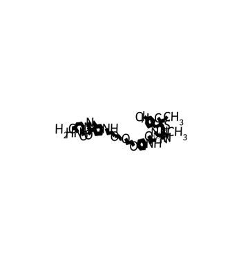 C=C1CCC(n2ncc3cc(NCCOCCOCCOc4ccc(NC(=O)C[C@@H]5N=C(c6ccc(Cl)cc6)c6c(sc(C)c6C)-n6c(C)nnc65)cc4)ccc3c2=O)C(=O)N1